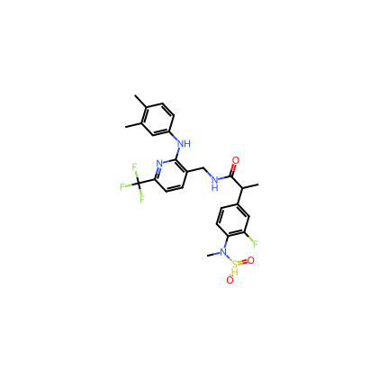 Cc1ccc(Nc2nc(C(F)(F)F)ccc2CNC(=O)C(C)c2ccc(N(C)[SH](=O)=O)c(F)c2)cc1C